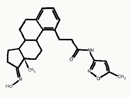 Cc1cc(NC(=O)CCc2cccc3c2C2CC[C@]4(C)/C(=N/O)CCC4C2CC3)no1